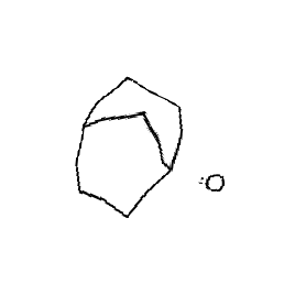 C1CC2CCC1C2.[O]